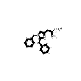 N[C@@H](Cc1cn(Cc2ccccc2)c(Cc2ccccc2)n1)C(=O)O